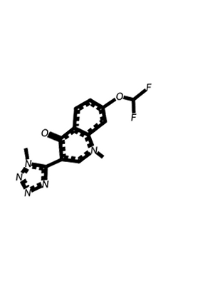 Cn1nnnc1-c1cn(C)c2cc(OC(F)F)ccc2c1=O